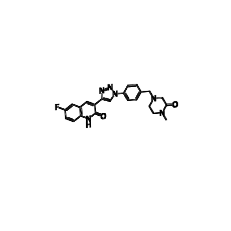 CN1CCN(Cc2ccc(-n3cc(-c4cc5cc(F)ccc5[nH]c4=O)nn3)cc2)CC1=O